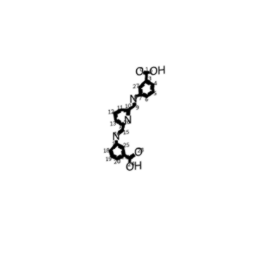 O=C(O)c1cccc(/N=C/c2cccc(/C=N/c3cccc(C(=O)O)c3)n2)c1